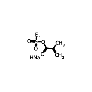 C=C(C)C(=O)OS(=O)(=O)CC.[NaH]